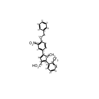 Cn1c(-c2ccc(OCc3ccccc3)c([N+](=O)[O-])c2)cc(C(=O)O)c1-c1cccnc1C(F)(F)F